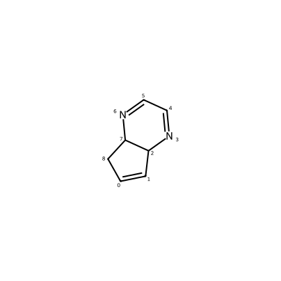 C1=CC2N=CC=NC2C1